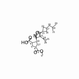 COC(=O)C1CC(C(=O)O)[C@@H](c2noc(C3CC(CC(C)C)C3)c2C2CC2)C1